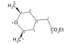 CCOC(=O)CC1C[C@@H](C)O[C@@H](C)C1